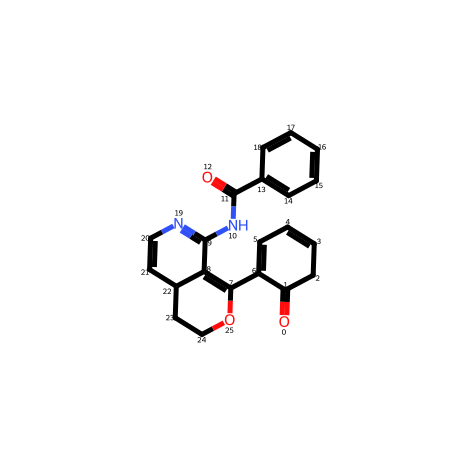 O=C1CC=CC=C1C1=C2C(NC(=O)c3ccccc3)=NC=CC2CCO1